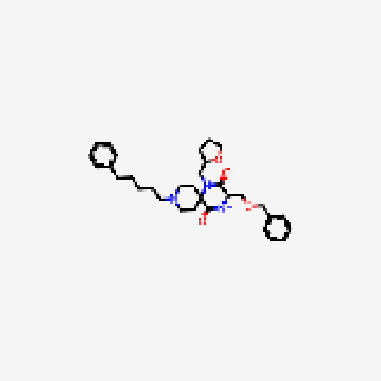 O=C1C(COCc2ccccc2)NC(=O)C2(CCN(CCCCCc3ccccc3)CC2)N1CC1CCCO1